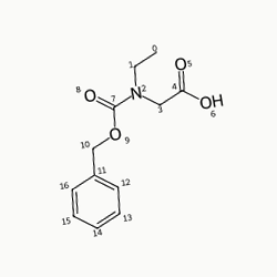 CCN(CC(=O)O)C(=O)OCc1ccccc1